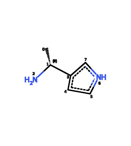 C[C@@H](N)c1cc[nH]c1